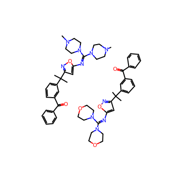 CC(C)(c1cccc(C(=O)c2ccccc2)c1)c1cc(N=C(N2CCOCC2)N2CCOCC2)on1.CN1CCN(C(=Nc2cc(C(C)(C)c3cccc(C(=O)c4ccccc4)c3)no2)N2CCN(C)CC2)CC1